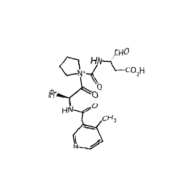 Cc1ccncc1C(=O)N[C@H](C(=O)[N+]1(C(=O)N[C@H](C=O)CC(=O)O)CCCC1)C(C)C